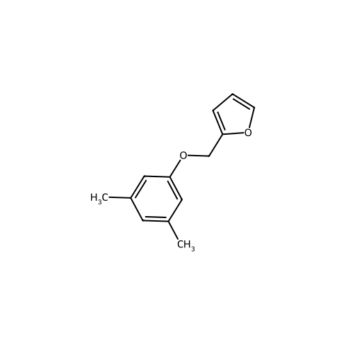 Cc1cc(C)cc(OCc2ccco2)c1